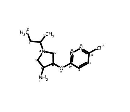 CCC(C)N1CC(N)C(Oc2ccc(Cl)nn2)C1